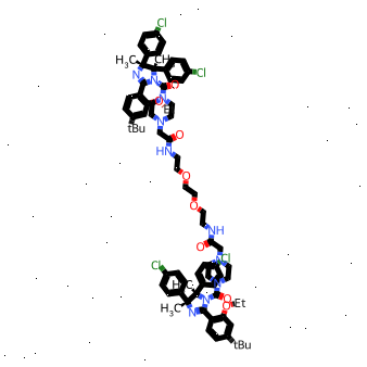 CCOc1cc(C(C)(C)C)ccc1C1=N[C@](C)(c2ccc(Cl)cc2)[C@](C)(c2ccc(Cl)cc2)N1C(=O)N1CCN(CC(=O)NCCOCCOCCNC(=O)CN2CCN(C(=O)N3C(c4ccc(C(C)(C)C)cc4OCC)=N[C@](C)(c4ccc(Cl)cc4)[C@]3(C)c3ccc(Cl)cc3)CC2)CC1